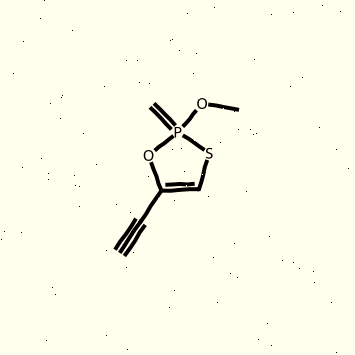 C#CC1=CSP(=C)(OC)O1